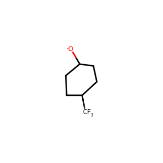 [O]C1CCC(C(F)(F)F)CC1